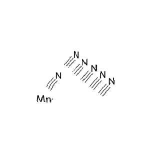 C#N.C#N.C#N.C#N.C#N.C#N.[Mn]